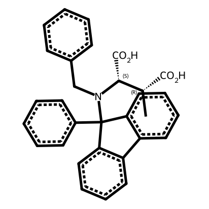 C[C@@H](C(=O)O)[C@@H](C(=O)O)N(Cc1ccccc1)C1(c2ccccc2)c2ccccc2-c2ccccc21